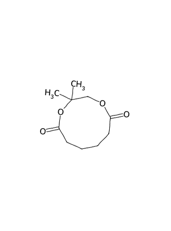 CC1(C)COC(=O)CCCCC(=O)O1